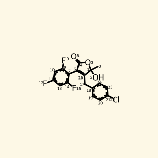 CC1(O)OC(=O)C(c2c(F)cc(F)cc2F)=C1Cc1ccc(Cl)cc1